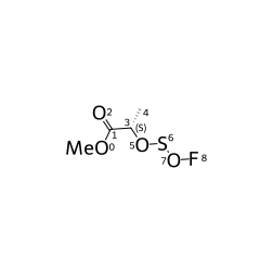 COC(=O)[C@H](C)OSOF